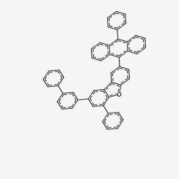 c1ccc(-c2cccc(-c3cc(-c4ccccc4)c4oc5ccc(-c6c7ccccc7c(-c7ccccc7)c7ccccc67)cc5c4c3)c2)cc1